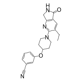 CCc1cc2c(nc1N1CCC(Oc3cccc(C#N)c3)CC1)CNC2=O